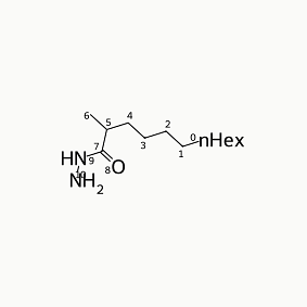 CCCCCCCCCCC(C)C(=O)NN